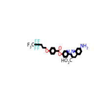 Nc1ccc(CC(=Cc2ccc(OC(=O)c3ccc(OCCCC(F)(F)C(F)(F)C(F)(F)F)cc3)cc2)C(=O)O)c(N)c1